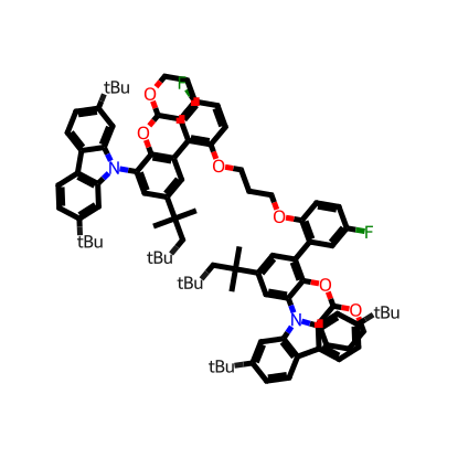 CC(C)(C)CC(C)(C)c1cc(-c2cc(F)ccc2OCCCOc2ccc(F)cc2-c2cc(C(C)(C)CC(C)(C)C)cc(-n3c4cc(C(C)(C)C)ccc4c4ccc(C(C)(C)C)cc43)c2OC2CCCCO2)c(OC2CCCCO2)c(-n2c3cc(C(C)(C)C)ccc3c3ccc(C(C)(C)C)cc32)c1